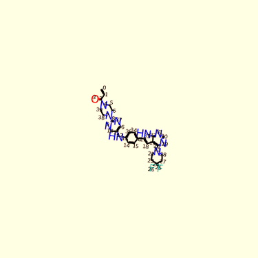 C=CC(=O)N1CCN(c2ncc(Nc3ccc(-c4cc5c(N6CCC(F)(F)CC6)ncnc5[nH]4)cc3)cn2)CC1